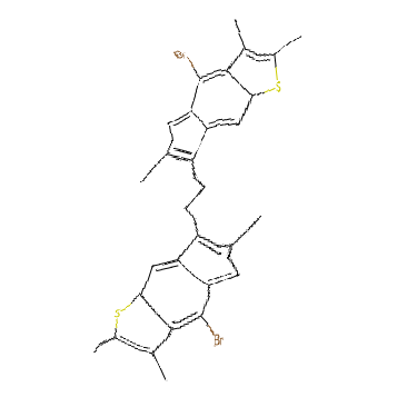 CC1=C(CCC2=C(C)C=C3C2=CC2SC(C)=C(C)C2=C3Br)C2=CC3SC(C)=C(C)C3=C(Br)C2=C1